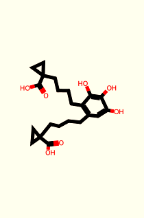 O=C(O)C1(CCCCc2cc(O)c(O)c(O)c2CCCCC2(C(=O)O)CC2)CC1